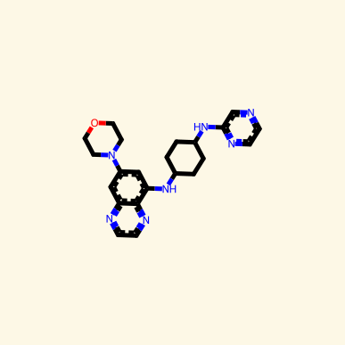 c1cnc(NC2CCC(Nc3cc(N4CCOCC4)cc4nccnc34)CC2)cn1